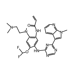 C=CC(=O)Nc1cc(Nc2ncnc(-c3cn(C)c4ncccc34)n2)c(OC(F)F)cc1N(C)CCN(C)C